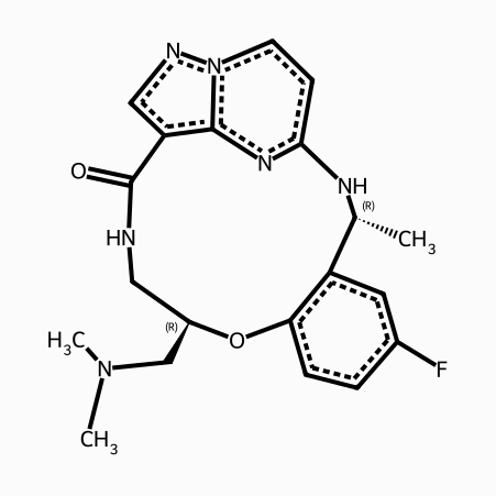 C[C@H]1Nc2ccn3ncc(c3n2)C(=O)NC[C@H](CN(C)C)Oc2ccc(F)cc21